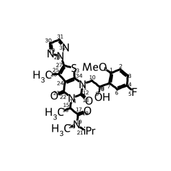 COc1ccc(F)cc1[C@@H](O)Cn1c(=O)n(C(C)C(=O)N(C)C(C)C)c(=O)c2c(C)c(-n3nccn3)sc21